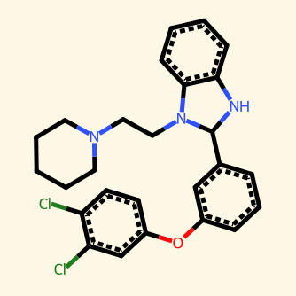 Clc1ccc(Oc2cccc(C3Nc4ccccc4N3CCN3CCCCC3)c2)cc1Cl